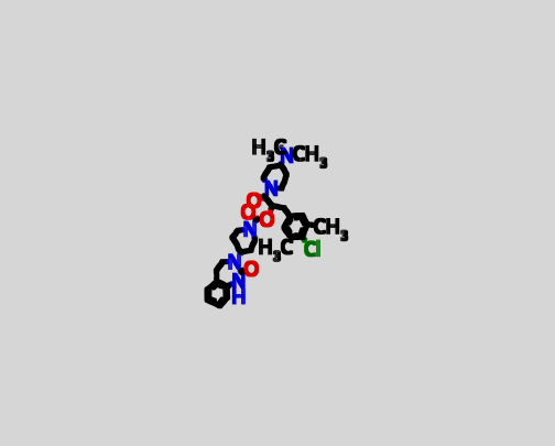 Cc1cc(CC(OC(=O)N2CCC(N3CCc4ccccc4NC3=O)CC2)C(=O)N2CCC(N(C)C)CC2)cc(C)c1Cl